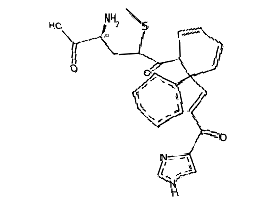 CSC(C[C@H](N)C(=O)O)C(=O)C1C=CC=CC1(C=CC(=O)c1c[nH]cn1)c1ccccc1